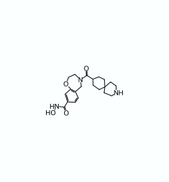 O=C(NO)c1ccc2c(c1)OCCN(C(=O)C1CCC3(CCNCC3)CC1)C2